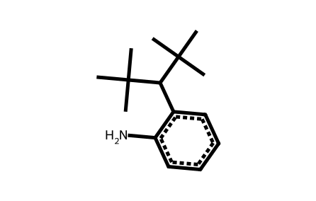 CC(C)(C)C(c1ccccc1N)C(C)(C)C